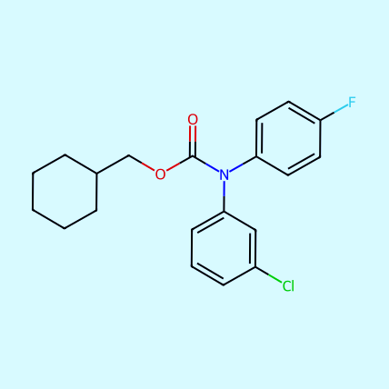 O=C(OCC1CCCCC1)N(c1ccc(F)cc1)c1cccc(Cl)c1